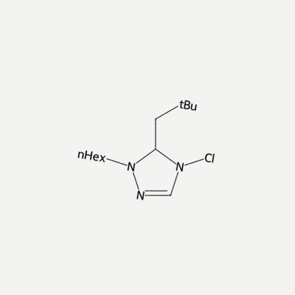 CCCCCCN1N=CN(Cl)C1CC(C)(C)C